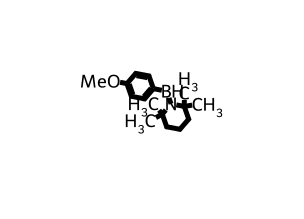 COc1ccc(BN2C(C)(C)CCCC2(C)C)cc1